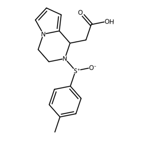 Cc1ccc([S+]([O-])N2CCn3cccc3C2CC(=O)O)cc1